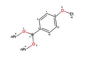 CCCOB(OCCC)c1ccc(OCC)cc1